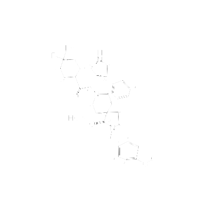 COc1ccc(CN2CCC3(CCN(C(C(=O)C4CCC(F)(F)CC4)[C@@H]4CNC[C@@H]4c4ccccc4)CC3)C2=O)cc1.Cl